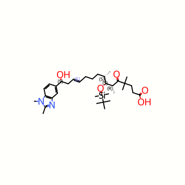 Cc1nc2cc([C@@H](O)C/C=C/CCC[C@H](C)[C@H](O[Si](C)(C)C(C)(C)C)[C@@H](C)C(=O)C(C)(C)CCC(=O)O)ccc2n1C